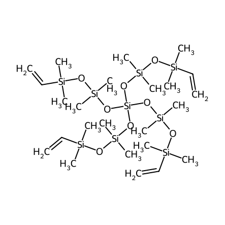 C=C[Si](C)(C)O[Si](C)(C)O[Si](O[Si](C)(C)O[Si](C)(C)C=C)(O[Si](C)(C)O[Si](C)(C)C=C)O[Si](C)(C)O[Si](C)(C)C=C